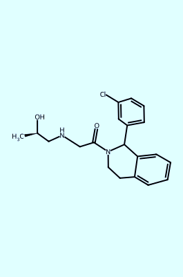 C[C@@H](O)CNCC(=O)N1CCc2ccccc2C1c1cccc(Cl)c1